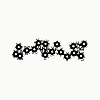 c1ccc(N(c2ccc(-c3cccc(-c4ccc5c(c4)c4ccccc4n5-c4nc5ccccc5c5nc6ccccc6n45)c3)cc2)c2ccc(-c3cccc4nc(-n5c6ccccc6c6cc(-c7ccc(N(c8ccccc8)c8cccc9ccccc89)cc7)ccc65)n5c6ccccc6nc5c34)cc2)cc1